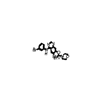 CCC(Oc1cc2ncnc(Nc3cccc(Br)c3)c2cc1N)N1CCOCC1